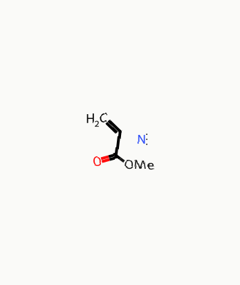 C=CC(=O)OC.[N]